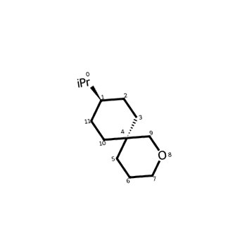 CC(C)[C@H]1CC[C@]2(CCCOC2)CC1